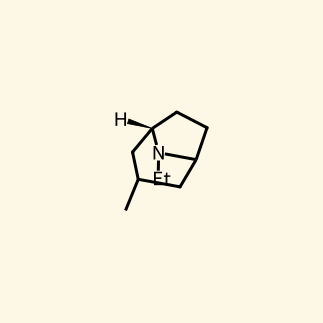 CCN1C2CC[C@H]1CC(C)C2